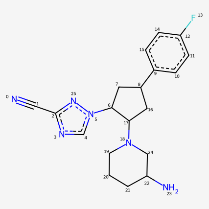 N#Cc1ncn(C2CC(c3ccc(F)cc3)CC2N2CCCC(N)C2)n1